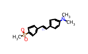 CN(C)c1ccc(/C=C/c2ccc(S(C)(=O)=O)cc2)cc1